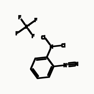 F[B-](F)(F)F.N#[N+]c1ccccc1N(Cl)Cl